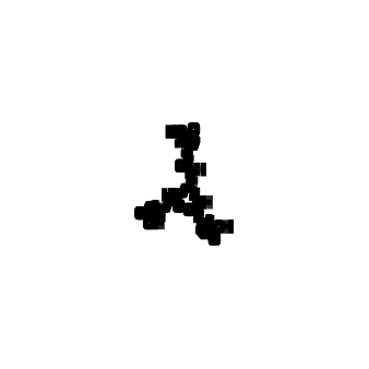 Cc1c(O)c(=O)ccn1CCC(=O)NCCN(CCNC(=O)CCn1ccc(=O)c(O)c1C)CCNC(=O)CCn1ccc(=O)c(O)c1C